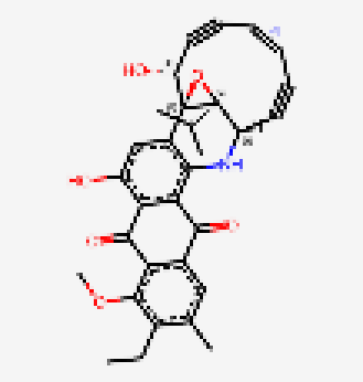 CCc1c(C)cc2c(c1OC)C(=O)c1c(O)cc3c(c1C2=O)N[C@H]1C#C/C=C\C#C[C@@H](O)[C@@]32O[C@@]12C(C)C